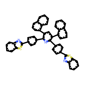 c1ccc2c(-c3cc(-c4cccc5ccccc45)c(-c4ccc(-c5nc6ccccc6s5)cc4)nc3-c3ccc(-c4nc5ccccc5s4)cc3)cccc2c1